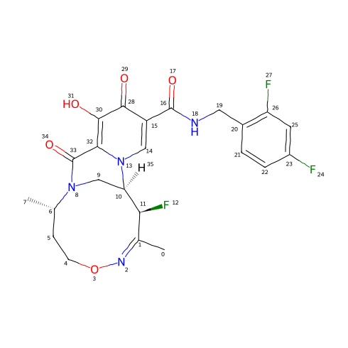 C/C1=N/OCC[C@H](C)N2C[C@H]([C@H]1F)n1cc(C(=O)NCc3ccc(F)cc3F)c(=O)c(O)c1C2=O